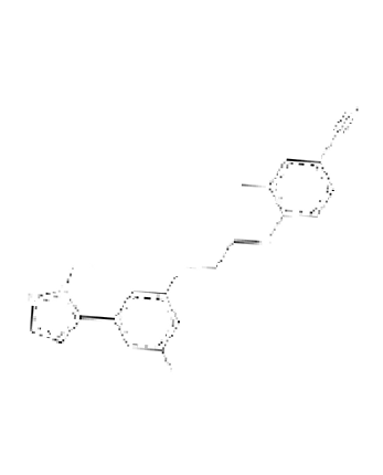 Cn1nccc1-c1cc(F)cc(OCCOc2ccc(C#N)cc2F)c1